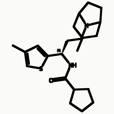 Cc1csc([C@H](CCN2C3CCC2CC(C)C3)NC(=O)C2CCCC2)c1